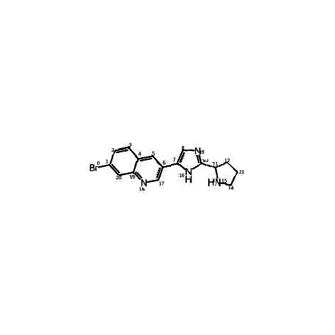 Brc1ccc2cc(-c3cnc(C4CCCN4)[nH]3)cnc2c1